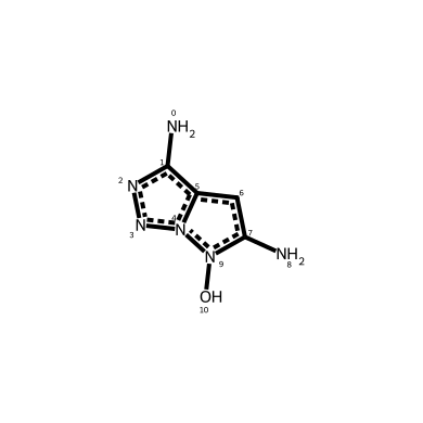 Nc1nnn2c1cc(N)n2O